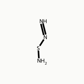 N=NSN